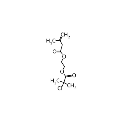 C=C(C)CC(=O)OCCOC(=O)C(C)(C)Cl